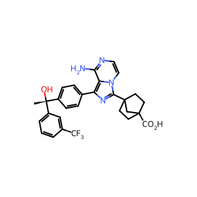 C[C@@](O)(c1ccc(-c2nc(C34CCC(C(=O)O)(CC3)C4)n3ccnc(N)c23)cc1)c1cccc(C(F)(F)F)c1